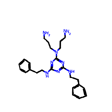 NCCCN(CCCN)c1nc(NCCc2ccccc2)nc(NCCc2ccccc2)n1